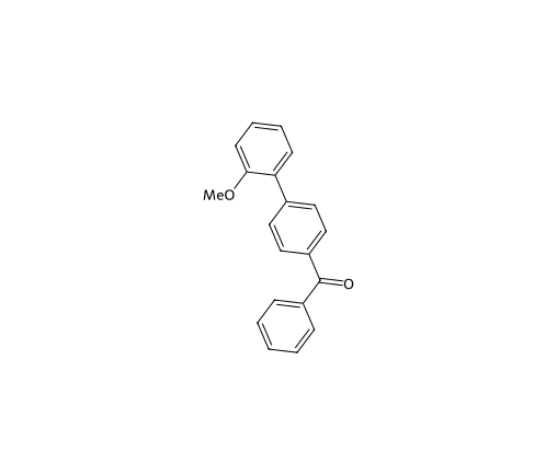 COc1ccccc1-c1ccc(C(=O)c2ccccc2)cc1